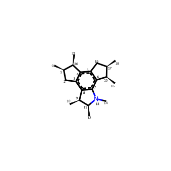 C[C@@H]1Cc2c(c3c(c4c2[C@H](C)[C@H](C)N4C)[C@H](C)[C@H](C)C3)[C@@H]1C